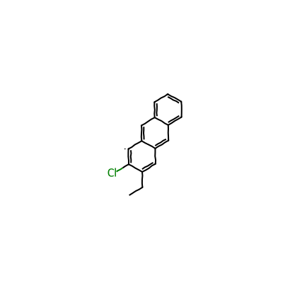 CCc1cc2cc3ccccc3cc2[c]c1Cl